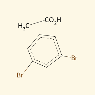 Brc1cccc(Br)c1.CC(=O)O